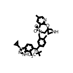 Cc1cnc2c(c1)S(=O)(=O)N(Cc1cc([C@H](c3ccc4c(nnn4C4CC4)c3C)C(C)(C)C(=O)O)ccc1C)CC1(CNC1)O2